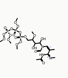 C/N=C(NC(C)=O)\C(C)=C/N(C=O)C(O)C(O)C(COP(=O)(OOC)OP(=O)(OOC)OP(=O)(OOC)OOC)OC